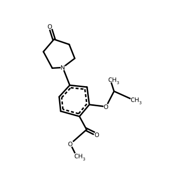 COC(=O)c1ccc(N2CCC(=O)CC2)cc1OC(C)C